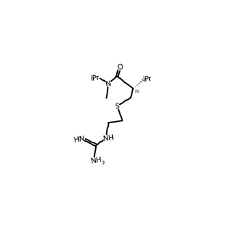 CC(C)[C@H](CSCCNC(=N)N)C(=O)N(C)C(C)C